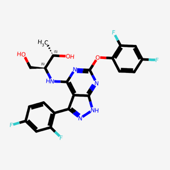 C[C@H](O)[C@H](CO)Nc1nc(Oc2ccc(F)cc2F)nc2[nH]nc(-c3ccc(F)cc3F)c12